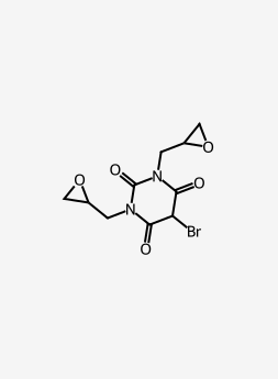 O=C1C(Br)C(=O)N(CC2CO2)C(=O)N1CC1CO1